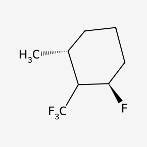 C[C@@H]1CCC[C@@H](F)C1C(F)(F)F